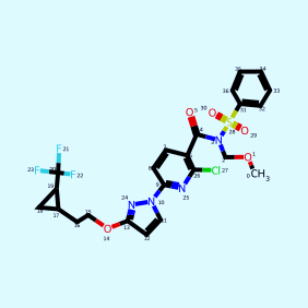 COCN(C(=O)c1ccc(-n2ccc(OCCC3CC3C(F)(F)F)n2)nc1Cl)S(=O)(=O)c1ccccc1